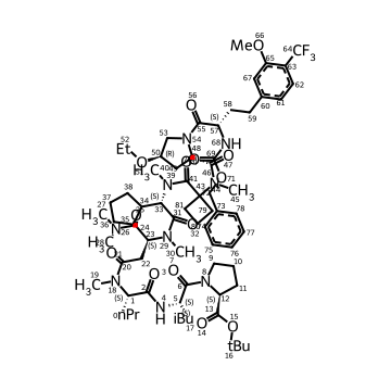 CCC[C@@H](C(=O)N[C@H](C(=O)N1CCC[C@H]1C(=O)OC(C)(C)C)[C@@H](C)CC)N(C)C(=O)C[C@@H](C(=O)N(C)C)N(C)C(=O)[C@H](C1CCCC1)N(C)C(=O)C1(N(C)C(=O)[C@@H]2C[C@@H](OCC)CN2C(=O)[C@H](CCc2ccc(C(F)(F)F)c(OC)c2)NC(=O)OCc2ccccc2)CCC1